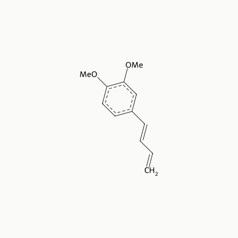 C=CC=Cc1ccc(OC)c(OC)c1